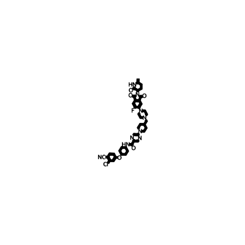 C=C1CCC(N2C(=O)c3cc(F)c(N4CCN(CC5CCN(c6cnc(C(=O)N[C@H]7CC[C@H](Oc8ccc(C#N)c(Cl)c8)CC7)cn6)CC5)CC4)cc3C2=O)C(=O)N1